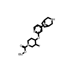 CC(C)(C)OC(=O)N1CCC(Oc2cc(N3C4CCC3CNC4)ccn2)C(F)C1